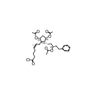 CC(=O)O[C@H](CCc1ccccc1)CC[C@@H]1[C@@H](C/C=C\CCCC(=O)Cl)[C@@H](OC(C)=O)C[C@H]1OC(C)=O